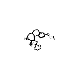 COc1ccc2c(c1)CCC1CCNC(=O)C(CC3(C)OCCO3)=C21